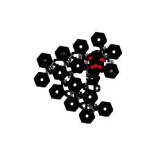 Cc1ccccc1N1c2cc3c(cc2B2c4sc(C(C)(C)C)cc4Oc4cc(N(c5ccccc5)c5ccccc5)cc1c42)B1c2cc4c(cc2N(c2ccccc2C)c2cc(N(c5ccccc5)c5ccccc5)cc(c21)N3c1ccccc1C)N(c1ccccc1C)c1cc(N(c2ccccc2)c2ccccc2)cc2c1B4c1sc(C(C)(C)C)cc1N2c1ccccc1